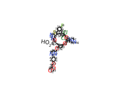 Cc1c(Cl)c2c(Cl)c(C)c1-c1c(-c3ccc(F)cc3)sc3ncnc(c13)OC(C(=O)O)Cc1cc(ccc1OCc1ccnc([C@H]3CC[C@H](OC[C@@H]4COCCO4)CC3)n1)OC[C@@H](CN1CCN(C)CC1)O2